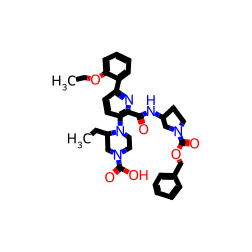 CCOc1ccccc1-c1ccc(N2CCN(C(=O)O)CC2CC)c(C(=O)NC2CCN(C(=O)OCc3ccccc3)C2)n1